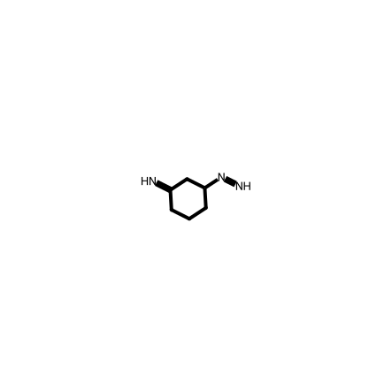 N=NC1CCCC(=N)C1